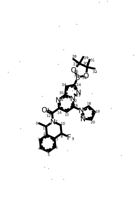 CC1c2ccccc2C(F)CN1C(=O)c1cc(-n2cccn2)n2nc(B3OC(C)(C)C(C)(C)O3)cc2n1